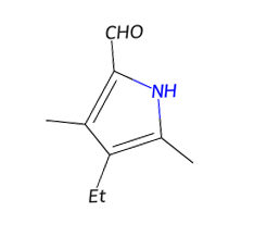 CCc1c(C)[nH]c(C=O)c1C